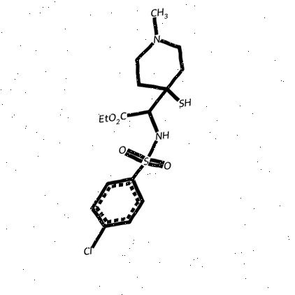 CCOC(=O)C(NS(=O)(=O)c1ccc(Cl)cc1)C1(S)CCN(C)CC1